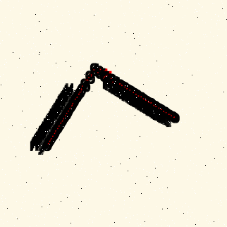 CCOC(C)=O.CCOC(C)=O.CCOC(C)=O.CCOC(C)=O.CCOC(C)=O.CCOC(C)=O.CCOC(C)=O.CCOC(C)=O.O.O.O.O.O.O.O.O.O.O.O.O.O.O.O.O.O.O.O.O.O.O.O.O.O.O.O.O.O.O.O.O.O.O.O.O.O.O.O.O.O.O.O.O.O.O.O.O.O.O.O.O.O.O.O.O.O.O.O.O.O.O.O.O.O.O.O.O.O.O.O.O.O.O.O.O.O.O.O.O.O.O.O.O.O.O.O.O.O.O.O.O